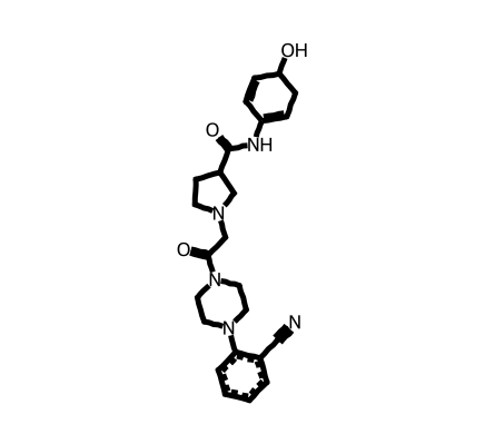 N#Cc1ccccc1N1CCN(C(=O)CN2CCC(C(=O)NC3=CCC(O)C=C3)C2)CC1